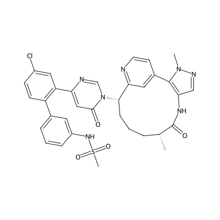 C[C@@H]1CCC[C@H](n2cnc(-c3cc(Cl)ccc3-c3cccc(NS(C)(=O)=O)c3)cc2=O)c2cc(ccn2)-c2c(cnn2C)NC1=O